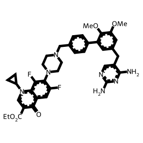 CCOC(=O)c1cn(C2CC2)c2c(F)c(N3CCN(Cc4ccc(-c5cc(Cc6cnc(N)nc6N)cc(OC)c5OC)cc4)CC3)c(F)cc2c1=O